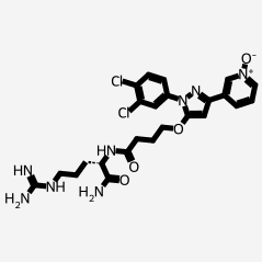 N=C(N)NCCC[C@H](NC(=O)CCCOc1cc(-c2ccc[n+]([O-])c2)nn1-c1ccc(Cl)c(Cl)c1)C(N)=O